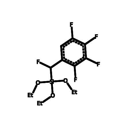 CCO[Si](OCC)(OCC)C(F)c1cc(F)c(F)c(F)c1F